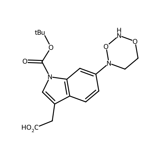 CC(C)(C)OC(=O)n1cc(CC(=O)O)c2ccc(N3CCONO3)cc21